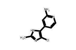 Cc1nc(Cl)c(-c2ccnc(N)c2)[nH]1